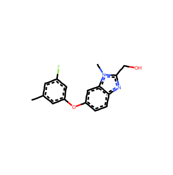 Cc1cc(F)cc(Oc2ccc3nc(CO)n(C)c3c2)c1